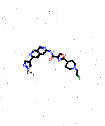 Cn1cc(-c2cc3cc(NC(=O)c4coc(C5CCN(CCF)CC5)n4)ncc3cn2)cn1